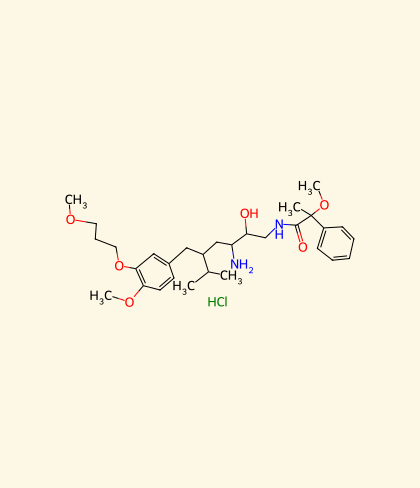 COCCCOc1cc(CC(CC(N)C(O)CNC(=O)C(C)(OC)c2ccccc2)C(C)C)ccc1OC.Cl